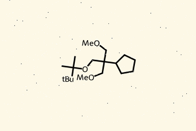 COCC(COC)(COC(C)(C)C(C)(C)C)C1CCCC1